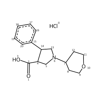 Cl.O=C(O)C1CN(C2CCOCC2)CC1c1ccccc1